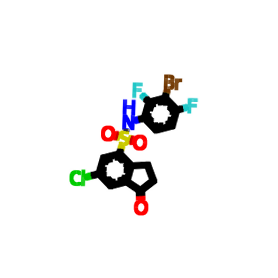 O=C1CCc2c1cc(Cl)cc2S(=O)(=O)Nc1ccc(F)c(Br)c1F